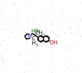 Br.CC(C)(CN1CCCC1)c1ccc2cc(O)ccc2c1